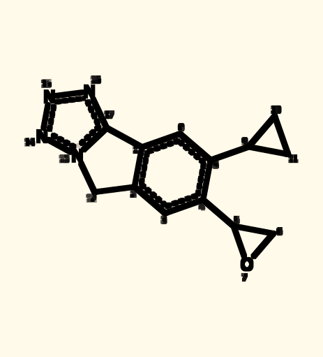 c1c2c(cc(C3CO3)c1C1CC1)Cn1nnnc1-2